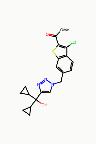 COC(=O)c1sc2cc(Cn3cc(C(O)(C4CC4)C4CC4)nn3)ccc2c1Cl